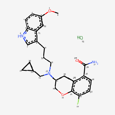 COc1ccc2[nH]cc(CCCN(CC3CC3)C3COc4c(F)ccc(C(N)=O)c4C3)c2c1.Cl